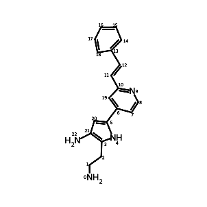 NCCc1[nH]c(-c2ccnc(/C=C/c3ccccc3)c2)cc1N